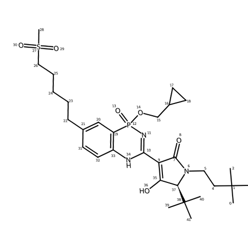 CC(C)(C)CCN1C(=O)C(C2=NP(=O)(OCC3CC3)c3cc(CCCCCS(C)(=O)=O)ccc3N2)=C(O)[C@@H]1C(C)(C)C